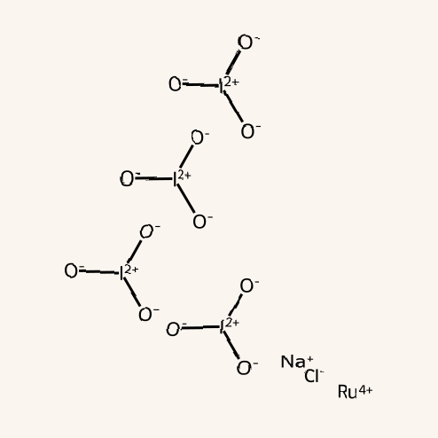 [Cl-].[Na+].[O-][I+2]([O-])[O-].[O-][I+2]([O-])[O-].[O-][I+2]([O-])[O-].[O-][I+2]([O-])[O-].[Ru+4]